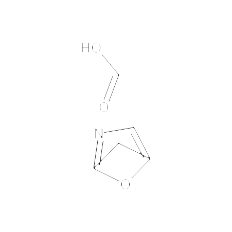 O=CO.c1nc2oc1C2